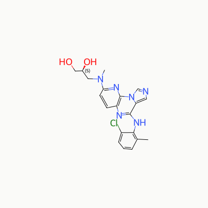 Cc1cccc(Cl)c1Nc1nc2ccc(N(C)C[C@H](O)CO)nc2n2cncc12